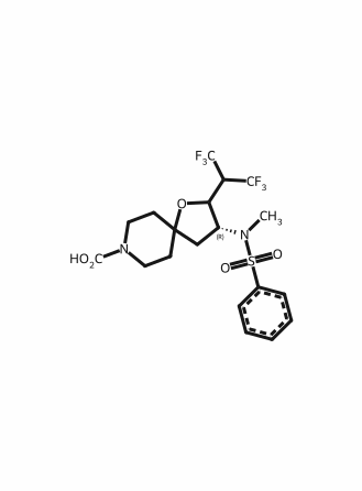 CN([C@@H]1CC2(CCN(C(=O)O)CC2)OC1C(C(F)(F)F)C(F)(F)F)S(=O)(=O)c1ccccc1